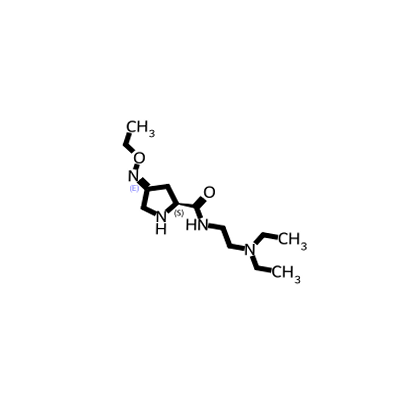 CCO/N=C1/CN[C@H](C(=O)NCCN(CC)CC)C1